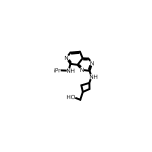 CC(C)Nc1nccc2cnc(NC3CC(CO)C3)nc12